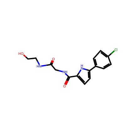 O=C(CNC(=O)c1ccc(-c2ccc(Cl)cc2)[nH]1)NCCO